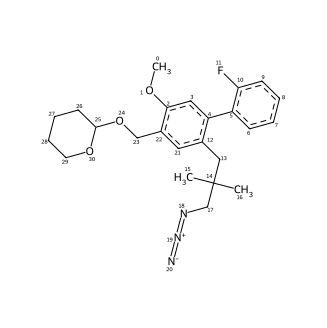 COc1cc(-c2ccccc2F)c(CC(C)(C)CN=[N+]=[N-])cc1COC1CCCCO1